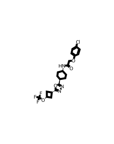 O=C(COc1ccc(Cl)cc1)N[C@H]1CC[C@H](c2nnc([C@H]3C[C@@H](OC(F)(F)F)C3)o2)CC1